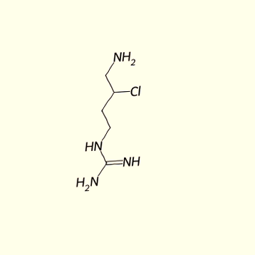 N=C(N)NCCC(Cl)CN